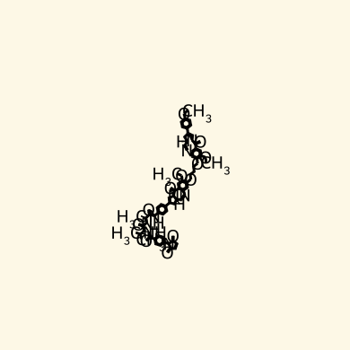 COc1ccc(C2=CN3C(=O)c4cc(OC)c(OCCCOc5cc6c(cc5OC)C(=O)N5C=C(c7ccc(NC(=O)[C@H](C)NC(=O)[C@@H](NC(=O)c8ccc(N9C(=O)C=CC9=O)cc8)C(C)C)cc7)C[C@H]5C=N6)cc4N=C[C@@H]3C2)cc1